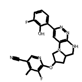 Cc1c(C#N)cnc(OC2CC3CNc4nnc(-c5cccc(F)c5O)cc4N3C2)c1F